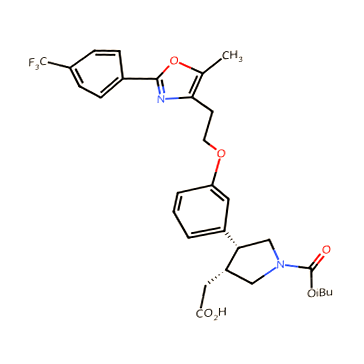 Cc1oc(-c2ccc(C(F)(F)F)cc2)nc1CCOc1cccc([C@@H]2CN(C(=O)OCC(C)C)C[C@@H]2CC(=O)O)c1